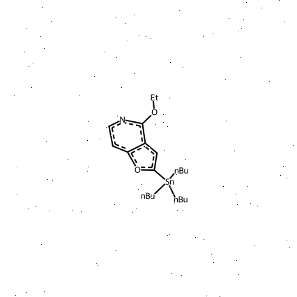 CCC[CH2][Sn]([CH2]CCC)([CH2]CCC)[c]1cc2c(OCC)nccc2o1